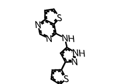 c1csc(-c2cc(Nc3ncnc4ccsc34)[nH]n2)c1